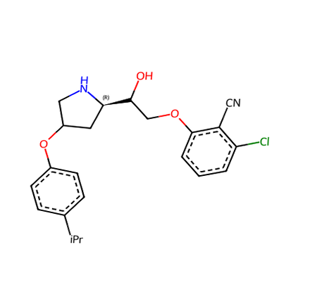 CC(C)c1ccc(OC2CN[C@@H](C(O)COc3cccc(Cl)c3C#N)C2)cc1